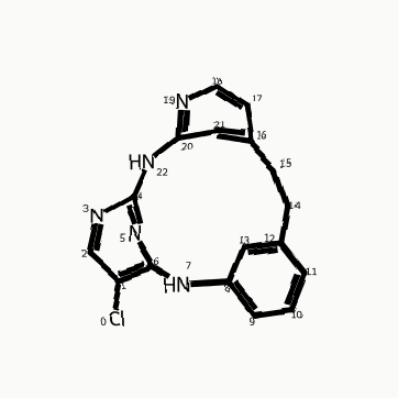 Clc1cnc2nc1Nc1cccc(c1)CCc1ccnc(c1)N2